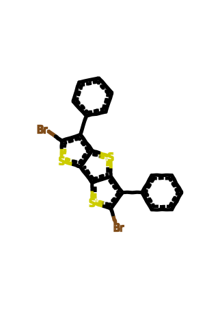 Brc1sc2c(sc3c(-c4ccccc4)c(Br)sc32)c1-c1ccccc1